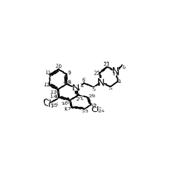 CN1CCN(CC[n+]2c3ccccc3c(Cl)c3ccccc32)CC1.[Cl-]